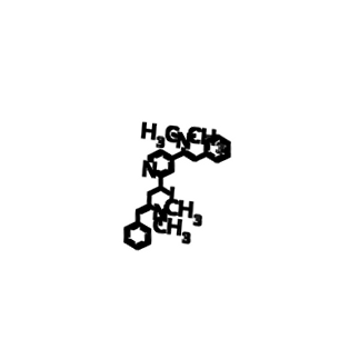 CN(C)C(=Cc1ccccc1)CC(I)c1cc(C(=Cc2ccccc2)N(C)C)ccn1